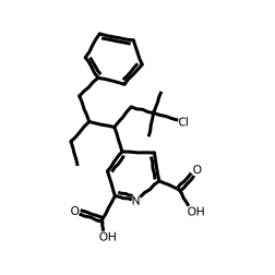 CCC(Cc1ccccc1)C(CC(C)(C)Cl)c1cc(C(=O)O)nc(C(=O)O)c1